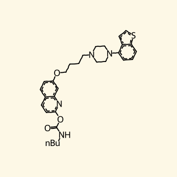 CCCCNC(=O)Oc1ccc2ccc(OCCCCN3CCN(c4cccc5sccc45)CC3)cc2n1